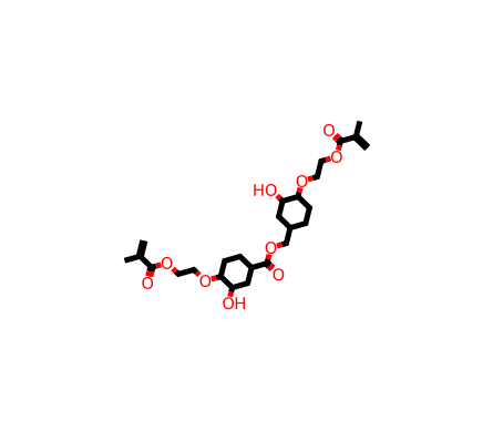 C=C(C)C(=O)OCCOC1CCC(COC(=O)C2CCC(OCCOC(=O)C(=C)C)C(O)C2)CC1O